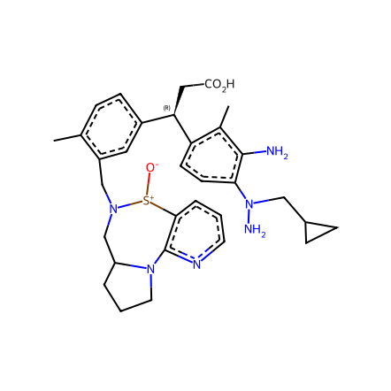 Cc1ccc([C@@H](CC(=O)O)c2ccc(N(N)CC3CC3)c(N)c2C)cc1CN1CC2CCCN2c2ncccc2[S+]1[O-]